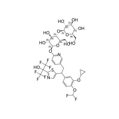 OC[C@H]1O[C@@H](O[C@H]2[C@H](O)[C@@H](O)[C@H](Oc3ccc(CC(c4ccc(OC(F)F)c(OC5CC5)c4)c4cnc(C(O)(C(F)(F)F)C(F)(F)F)s4)cn3)O[C@@H]2CO)[C@H](O)[C@@H](O)[C@@H]1O